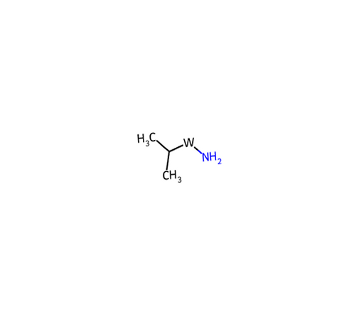 C[CH](C)[W][NH2]